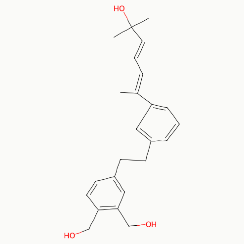 C/C(=C\C=C\C(C)(C)O)c1cccc(CCc2ccc(CO)c(CO)c2)c1